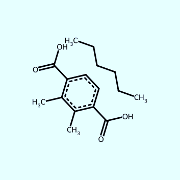 CCCCCC.Cc1c(C(=O)O)ccc(C(=O)O)c1C